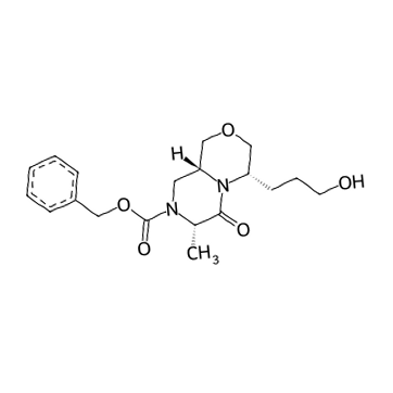 C[C@H]1C(=O)N2[C@@H](CCCO)COC[C@H]2CN1C(=O)OCc1ccccc1